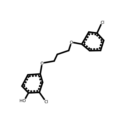 Oc1ccc(OCCCOc2cccc(Cl)c2)cc1Cl